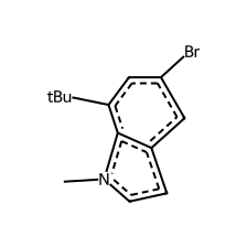 Cn1ccc2cc(Br)cc(C(C)(C)C)c21